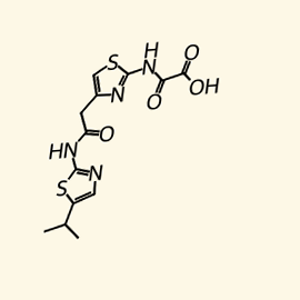 CC(C)c1cnc(NC(=O)Cc2csc(NC(=O)C(=O)O)n2)s1